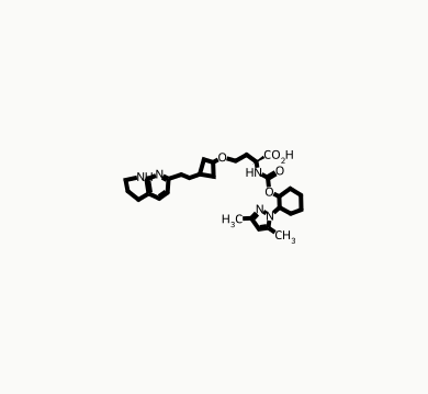 Cc1cc(C)n(C2CCCCC2OC(=O)N[C@@H](CCOC2CC(CCc3ccc4c(n3)NCCC4)C2)C(=O)O)n1